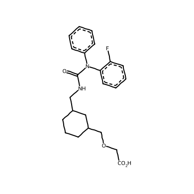 O=C(O)COCC1CCCC(CNC(=O)N(c2ccccc2)c2ccccc2F)C1